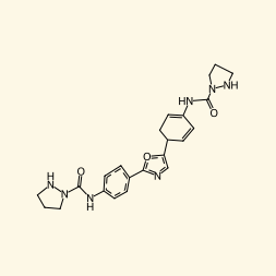 O=C(NC1=CCC(c2cnc(-c3ccc(NC(=O)N4CCCN4)cc3)o2)C=C1)N1CCCN1